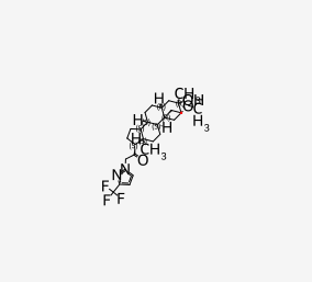 COCC[C@]12CC[C@@](C)(O)C[C@H]1CC[C@H]1[C@@H]3CC[C@H](C(=O)Cn4ccc(C(F)(F)F)n4)[C@@]3(C)CC[C@@H]12